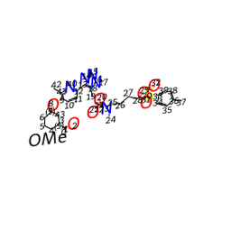 COC(=O)[C@H]1CCC[C@H](Oc2ccc(-c3nnn(C)c3COC(=O)N(C)CCCCOS(=O)(=O)c3ccc(C)cc3)nc2C)C1